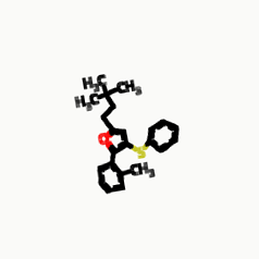 Cc1ccccc1-c1oc(CCC(C)(C)C)cc1Sc1ccccc1